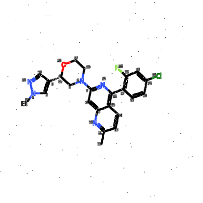 CCn1cc([C@H]2CN(c3cc4nc(C)ccc4c(-c4ccc(Cl)cc4F)n3)CCO2)cn1